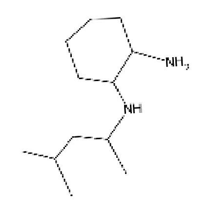 CC(C)CC(C)NC1CCCCC1N